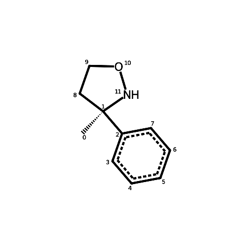 C[C@]1(c2ccccc2)CCON1